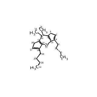 CCCCC1=CCC(CC)=[C]1[Zr][C]1=C(CC)CC=C1CCCC